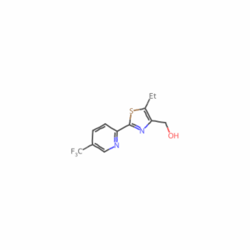 CCc1sc(-c2ccc(C(F)(F)F)cn2)nc1CO